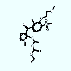 CCOC(=O)OC(C)Oc1c(C(=O)c2ccc(S(C)(=O)=O)c(OCCOC)c2C)cnn1C